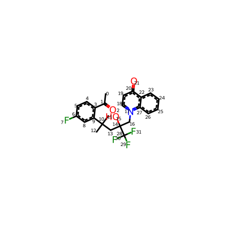 CC(=O)c1ccc(F)cc1C(C)(C)CC(O)(Cn1ccc(=O)c2ccccc21)C(F)(F)F